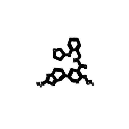 COc1ncc(-c2ccn3nc(N)nc3c2)cc1C(=O)NCc1ccccc1OC1CCOC1